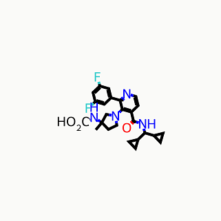 CC1(NC(=O)O)CCN(c2c(C(=O)NC(C3CC3)C3CC3)ccnc2-c2cc(F)cc(F)c2)C1